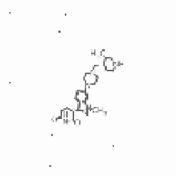 C[C@H]1CNCC[C@H]1CN1CCN(c2ccc3c(C4CCC(=O)NC4=O)nn(C)c3c2)CC1